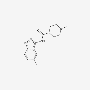 Cc1ccc2[nH]nc(NC(=O)C3CCN(C)CC3)c2c1